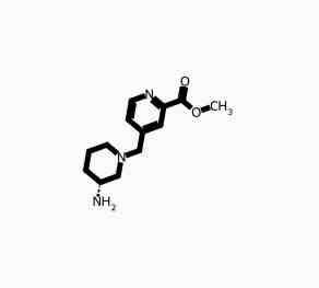 COC(=O)c1cc(CN2CCC[C@@H](N)C2)ccn1